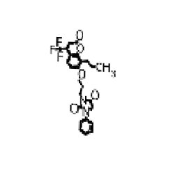 CCCc1c(OCCCN2C(=O)CN(c3ccccc3)C2=O)ccc2c(C(F)(F)F)cc(=O)oc12